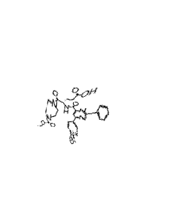 CCOC(=O)N1CCN(C(=O)[C@H](CCC(=O)O)NC(=O)c2cc(-c3cc[n+]([O-])cc3)nc(-c3ccccc3)n2)CC1